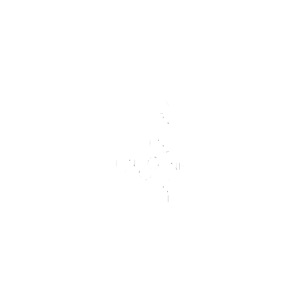 C=CC(=O)N1CCCC(NC(=O)c2sc3c(N)ccc4c3c2C(N)C(=O)C4(N)C(C)C)C1